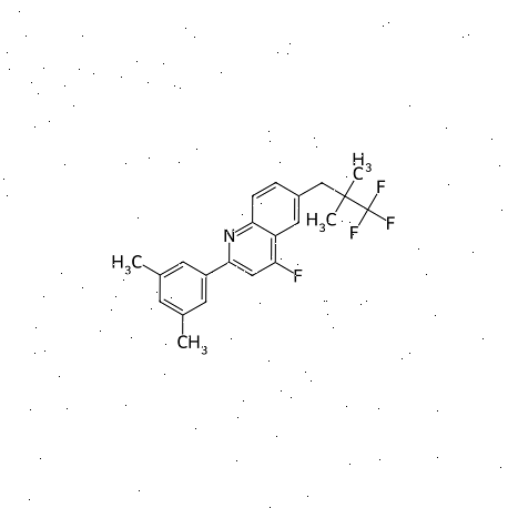 Cc1cc(C)cc(-c2cc(F)c3cc(CC(C)(C)C(F)(F)F)ccc3n2)c1